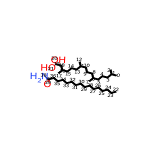 CC(C)CCCC(C)CCCC(C)CCCC(C)CC(O)O.CCCCCCCCCCCCCCCC(N)=O